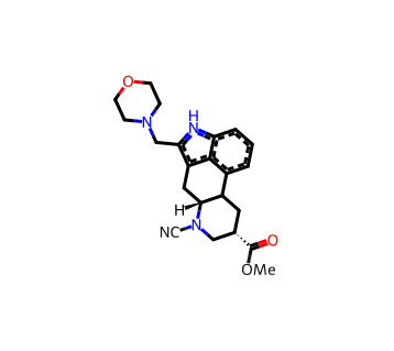 COC(=O)[C@H]1CC2c3cccc4[nH]c(CN5CCOCC5)c(c34)C[C@H]2N(C#N)C1